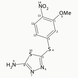 COc1cc(Sc2nnc(N)s2)ccc1[N+](=O)[O-]